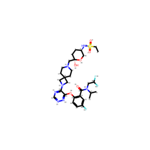 CCS(=O)(=O)N[C@@H]1CC[C@](O)(CN2CCC3(CC2)CN(c2ncnnc2Oc2ccc(F)cc2C(=O)N(CC(F)F)C(C)C)C3)OC1